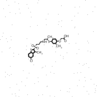 Cc1cc(S[C@H](C)CNCCCS(=O)(=O)c2sc3ccc(Cl)cc3c2C)ccc1OCC(=O)O